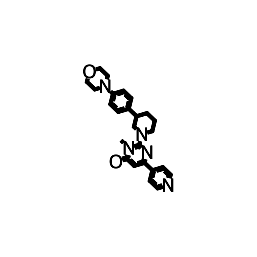 Cn1c(N2CCCC(c3ccc(N4CCOCC4)cc3)C2)nc(-c2ccncc2)cc1=O